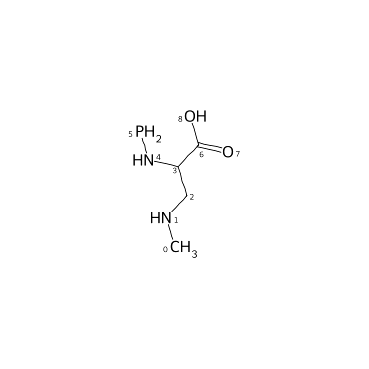 CNCC(NP)C(=O)O